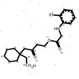 [CH2]Cc1ccccc1NCC(=O)OCCC(=O)CC1(CC(=O)O)CCCCC1